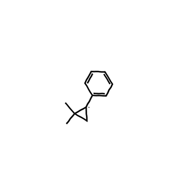 CC1(C)C[C]1c1ccccc1